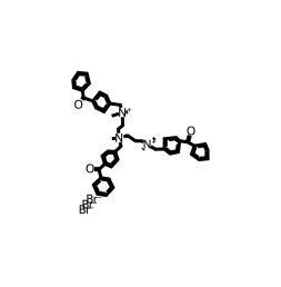 C[N+](C)(CCC[N+](C)(CC[N+](C)(C)Cc1ccc(C(=O)c2ccccc2)cc1)Cc1ccc(C(=O)c2ccccc2)cc1)Cc1ccc(C(=O)c2ccccc2)cc1.[Br-].[Br-].[Br-]